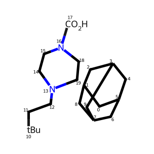 C1C2CC3CC1CC(C2)C3.CC(C)(C)CCN1CCN(C(=O)O)CC1